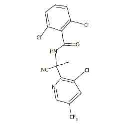 CC(C#N)(NC(=O)c1c(Cl)cccc1Cl)c1ncc(C(F)(F)F)cc1Cl